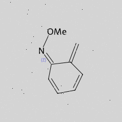 C=C1C=CC=C/C1=N/OC